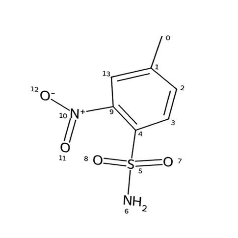 Cc1ccc(S(N)(=O)=O)c([N+](=O)[O-])c1